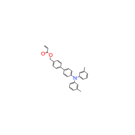 C=CC(=O)OCc1ccc(-c2ccc(N(c3cccc(C)c3)c3cccc(C)c3)cc2)cc1